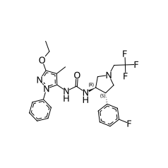 CCOc1nn(-c2ccccc2)c(NC(=O)N[C@H]2CN(CC(F)(F)F)C[C@@H]2c2cccc(F)c2)c1C